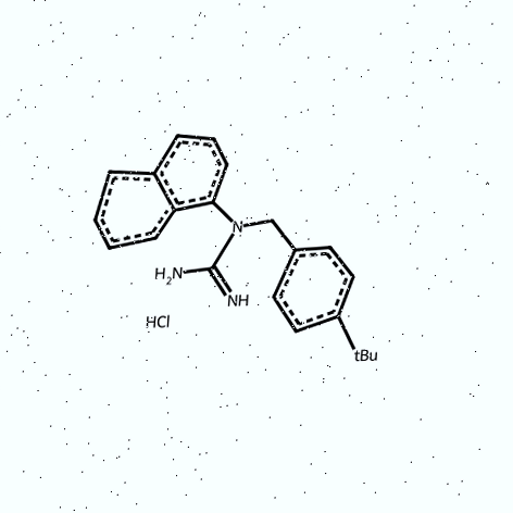 CC(C)(C)c1ccc(CN(C(=N)N)c2cccc3ccccc23)cc1.Cl